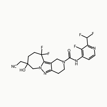 N#CCC1(O)CCC(F)(F)c2c3c(nn2C1)CCN(C(=O)Nc1ccnc(C(F)F)c1F)C3